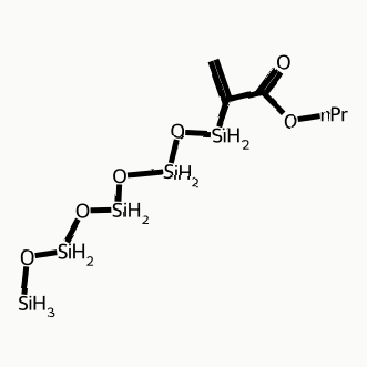 C=C([SiH2]O[SiH2]O[SiH2]O[SiH2]O[SiH3])C(=O)OCCC